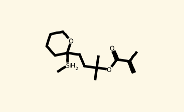 C=C(C)C(=O)OC(C)(C)CCC1([SiH2]C)CCCCO1